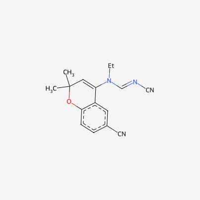 CCN(C=NC#N)C1=CC(C)(C)Oc2ccc(C#N)cc21